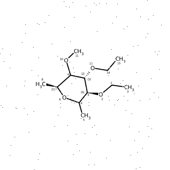 CCO[C@H]1C(C)O[C@@H](C)C(OC)[C@@H]1OCC